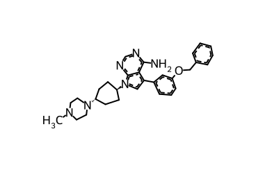 CN1CCN([C@H]2CC[C@H](n3cc(-c4cccc(OCc5ccccc5)c4)c4c(N)ncnc43)CC2)CC1